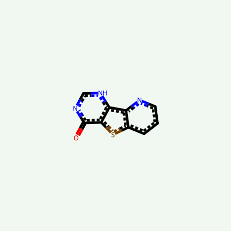 O=c1nc[nH]c2c1sc1cccnc12